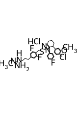 C/N=C(\N)NCCCc1cc(F)c(CSc2nc3c(n2-c2ccc(F)cc2)C(c2ccc(Cl)c(OC)c2)CCC3)c(F)c1.Cl